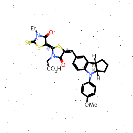 CCN1C(=O)/C(=c2\s/c(=C/c3ccc4c(c3)[C@@H]3CCC[C@@H]3N4c3ccc(OC)cc3)c(=O)n2CC(=O)O)SC1=S